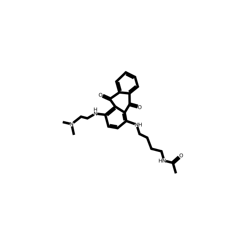 CC(=O)NCCCCNc1ccc(NCCN(C)C)c2c1C(=O)c1ccccc1C2=O